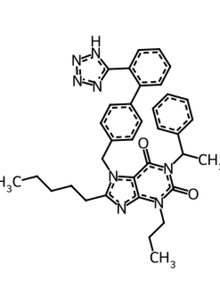 CCCCCc1nc2c(c(=O)n(C(C)c3ccccc3)c(=O)n2CCC)n1Cc1ccc(-c2ccccc2-c2nnn[nH]2)cc1